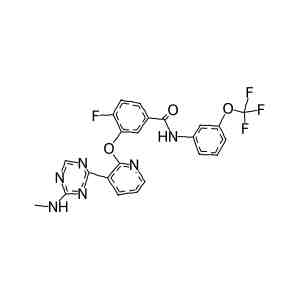 CNc1ncnc(-c2cccnc2Oc2cc(C(=O)Nc3cccc(OC(F)(F)F)c3)ccc2F)n1